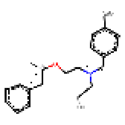 COc1ccc(CN(CCC#N)CCO[C@@H](C)Cc2ccccc2)cc1